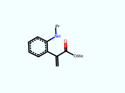 C=C(C(=O)OC)c1ccccc1NC(C)C